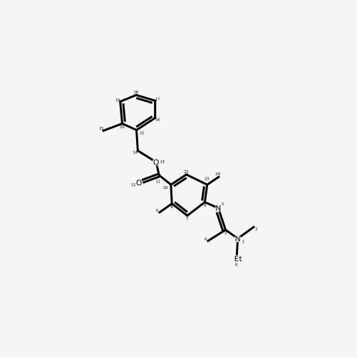 CCN(C)/C(C)=N/c1cc(C)c(C(=O)OCc2ccccc2C)cc1C